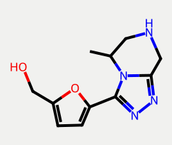 CC1CNCc2nnc(-c3ccc(CO)o3)n21